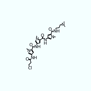 CN(C)CCCNC(=O)c1cc(NC(=O)c2cc(NC(=O)c3cc(NC(=O)CCCl)cn3C)cn2C)cn1C